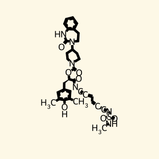 CNS(=O)(=O)N=C=C=CC=C=C=NC(=O)[C@@H](Cc1cc(C)c(O)c(C)c1)OC(=O)N1CCC(N2CCc3ccccc3NC2=O)CC1